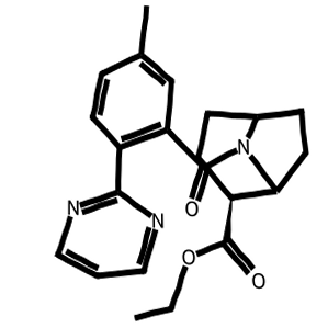 CCOC(=O)[C@H]1CCC2CCC1N2C(=O)c1cc(C)ccc1-c1ncccn1